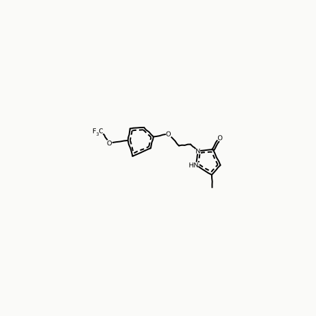 Cc1cc(=O)n(CCOc2ccc(OC(F)(F)F)cc2)[nH]1